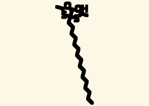 CCCCCCCCCCCCCCCCC(SCC)(SCC)C(=O)O